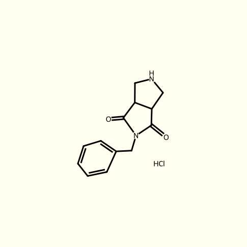 Cl.O=C1C2CNCC2C(=O)N1Cc1ccccc1